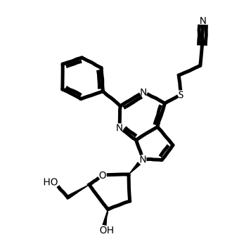 N#CCCSc1nc(-c2ccccc2)nc2c1ccn2[C@H]1C[C@@H](O)[C@@H](CO)O1